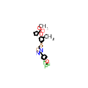 COC(=O)C1(Oc2ccc(SCc3nc(-c4ccc(OC(F)(F)F)cc4)ns3)cc2C)CCCC1